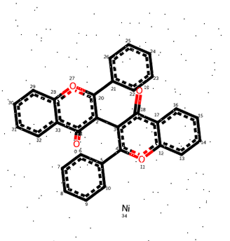 O=c1c(-c2c(-c3ccccc3)oc3ccccc3c2=O)c(-c2ccccc2)oc2ccccc12.[Ni]